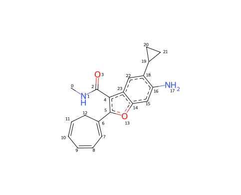 CNC(=O)c1c(C2=CC=CC=CC2)oc2cc(N)c(C3CC3)cc12